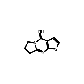 N=c1c2ccsc2nc2n1CCC2